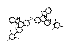 Cc1cc(C)c(-c2ccc3c4ccc(Oc5ccc6c7ccc(-c8c(C)cc(C)cc8C)nc7n7c8ccccc8nc7c6c5)cc4c4nc5ccccc5n4c3n2)c(C)c1